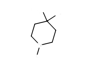 CC(=O)N1CCC(C(=O)O)(C(F)(F)F)CC1